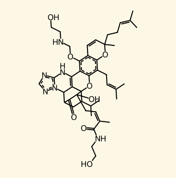 CC(C)=CCCC1(C)C=Cc2c(c(CC=C(C)C)c3c(c2OCNCCO)C2=C4C(C5CC(C(C)C)C4(O3)C(O)(C/C=C(/C)C(=O)NCCO)C5=O)n3ncnc3N2)O1